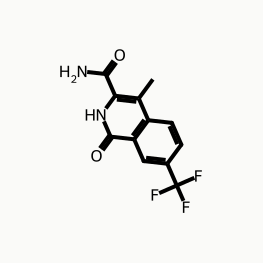 Cc1c(C(N)=O)[nH]c(=O)c2cc(C(F)(F)F)ccc12